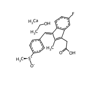 CC1=C(CC(=O)O)c2cc(F)ccc2C1=Cc1ccc([S@+](C)[O-])cc1.CCO.[CaH2]